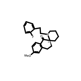 COc1ccc2c(c1)CC[C@@]1(CCCCN1CCc1ccccc1F)C2=O